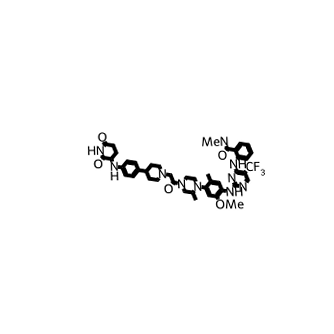 CNC(=O)c1ccccc1Nc1nc(Nc2cc(C)c(N3CCN(C(=O)CN4CCC(c5ccc(NC6CCC(=O)NC6=O)cc5)CC4)CC3C)cc2OC)ncc1C(F)(F)F